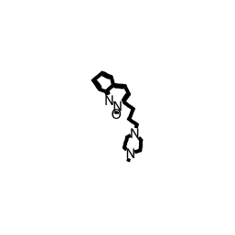 CN1CCN(CCCc2ccc3ccccc3n[n+]2=O)CC1